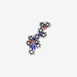 c1ccc(-c2nc(-c3ccccc3)nc(-c3cccc4c3oc3c(-n5c6ccccc6c6cc(-n7c8ccccc8c8cc(-c9cccc%10c9oc9ccccc9%10)ccc87)ccc65)cccc34)n2)cc1